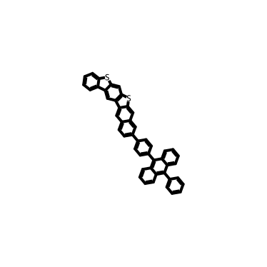 c1ccc(-c2c3ccccc3c(-c3ccc(-c4ccc5cc6c(cc5c4)sc4cc5sc7ccccc7c5cc46)cc3)c3ccccc23)cc1